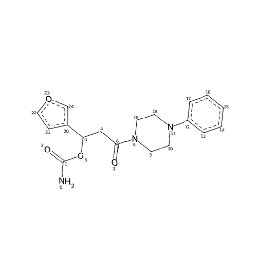 NC(=O)OC(CC(=O)N1CCN(c2ccccc2)CC1)c1ccoc1